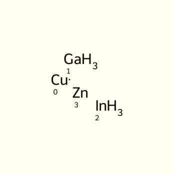 [Cu].[GaH3].[InH3].[Zn]